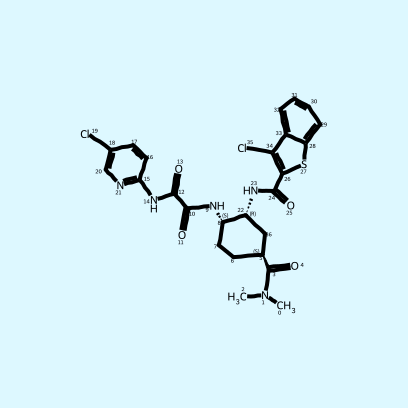 CN(C)C(=O)[C@H]1CC[C@H](NC(=O)C(=O)Nc2ccc(Cl)cn2)[C@H](NC(=O)c2sc3ccccc3c2Cl)C1